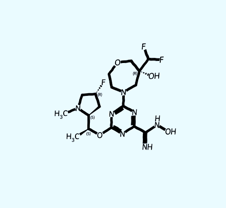 C[C@H](Oc1nc(C(=N)NO)nc(N2CCOC[C@@](O)(C(F)F)C2)n1)[C@@H]1C[C@@H](F)CN1C